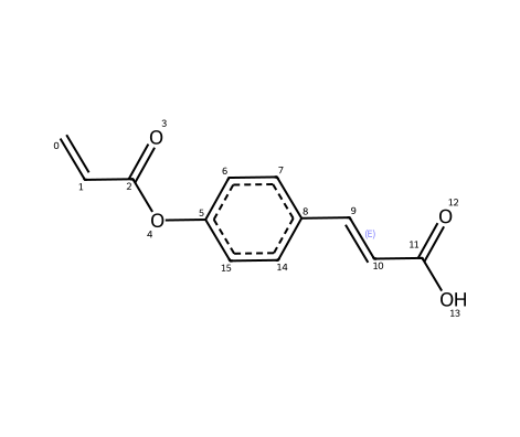 C=CC(=O)Oc1ccc(/C=C/C(=O)O)cc1